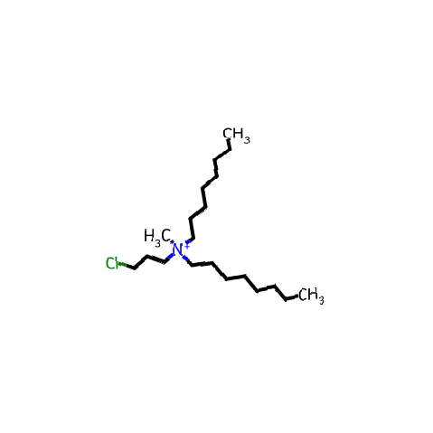 CCCCCCCC[N+](C)(CCCCl)CCCCCCCC